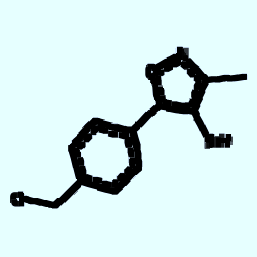 Cc1noc(-c2ccc(CCl)cc2)[c]1[SnH]